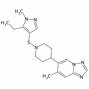 CCc1c(SN2CCC(c3cn4ncnc4cc3C)CC2)cnn1C